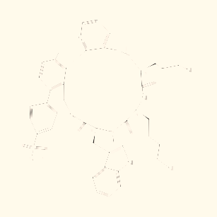 CC(=O)NS(=O)(=O)c1ccc(-c2ccc(Cl)c3c2CNC(=O)[C@H](Cc2c[nH]c4ccccc24)N(C)C(=O)[C@H](CCCCN)NC(=O)[C@H](CCCN)NCc2cccnc2S3)cc1